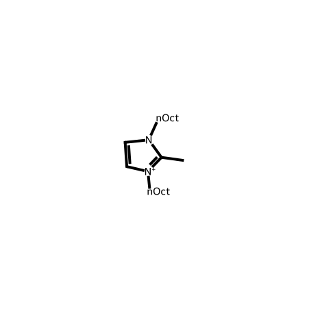 CCCCCCCCn1cc[n+](CCCCCCCC)c1C